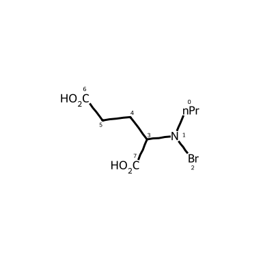 CCCN(Br)C(CCC(=O)O)C(=O)O